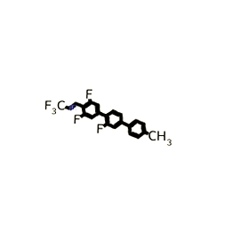 Cc1ccc(-c2ccc(-c3cc(F)c(/C=C/C(F)(F)F)c(F)c3)c(F)c2)cc1